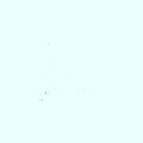 C#Cc1cccc(C#C)c1.[LiH].[LiH]